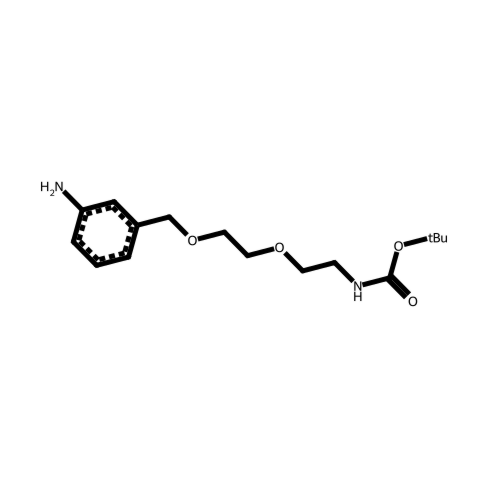 CC(C)(C)OC(=O)NCCOCCOCc1cccc(N)c1